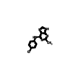 Cc1nc(Nc2ccc(Cl)cc2)c2nc[nH]c2n1